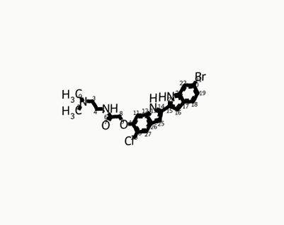 CN(C)CCNC(=O)COc1cc2[nH]c(-c3cc4ccc(Br)cc4[nH]3)cc2cc1Cl